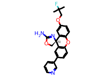 CC(C)(F)COc1ccc2c(c1)[C@]1(COC(N)=N1)c1cc(-c3cccnc3)ccc1O2